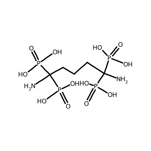 NC(CCCC(N)(P(=O)(O)O)P(=O)(O)O)(P(=O)(O)O)P(=O)(O)O